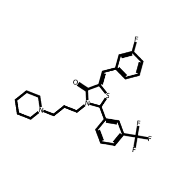 O=C1/C(=C/c2cccc(F)c2)SC(c2cccc(C(F)(F)F)c2)N1CCCN1CCCCC1